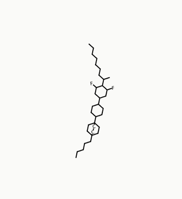 CCCCCCCC(C)C1C(F)CC(C2CCC(C34CCC(CCCCC)(CC3)CC4)CC2)CC1F